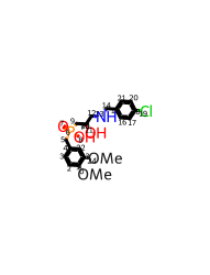 COc1ccc(CP(=O)(O)C[C@H](O)CNCc2ccc(Cl)cc2)cc1OC